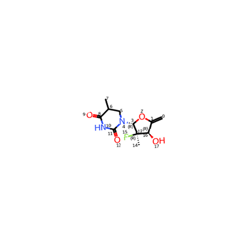 C=C1O[C@@H](N2CC(C)C(=O)NC2=O)[C@](C)(F)[C@@H]1O